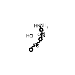 Cc1nn(-c2ccc(C(=N)N)cc2)c(=O)n1-c1ccc(CCC(=O)OCCC2CCCCC2)cc1.Cl